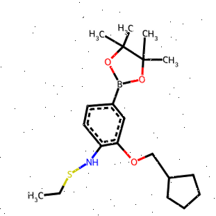 CCSNc1ccc(B2OC(C)(C)C(C)(C)O2)cc1OCC1CCCC1